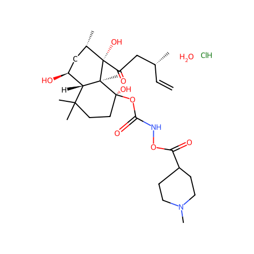 C=C[C@@H](C)CC(=O)[C@]1(O)[C@@H](C)C[C@H](O)[C@H]2C(C)(C)CC[C@](O)(OC(=O)NOC(=O)C3CCN(C)CC3)[C@@]21C.Cl.O